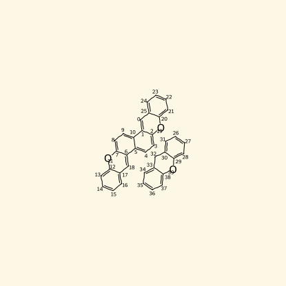 C1=c2c(ccc3c4c(ccc23)Oc2ccccc2C=4)Oc2ccccc21.c1ccc2c(c1)Cc1ccccc1O2